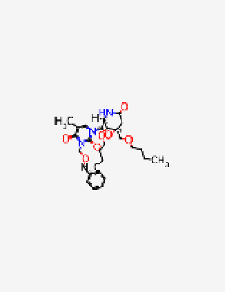 CCCCOC[C@]12CC(=O)N[C@@H](C1OCCCC)[C@H](n1cc(C)c(=O)n(COCc3ccccc3)c1=O)O2